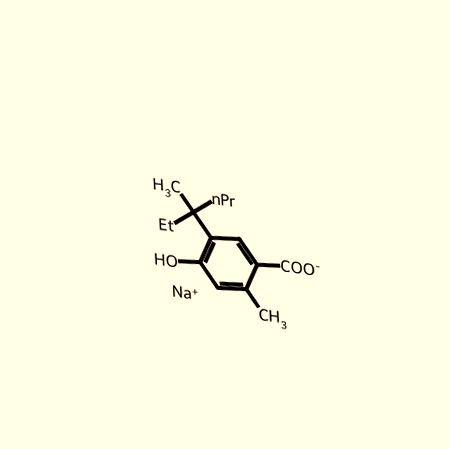 CCCC(C)(CC)c1cc(C(=O)[O-])c(C)cc1O.[Na+]